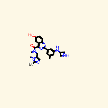 CCc1ncc(CN(C)C(=O)c2nc(-c3cc(C)cc(NC4CNC4)c3)nc3ccc(O)cc23)n1C